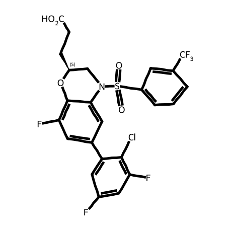 O=C(O)CC[C@H]1CN(S(=O)(=O)c2cccc(C(F)(F)F)c2)c2cc(-c3cc(F)cc(F)c3Cl)cc(F)c2O1